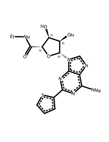 CCNC(=O)[C@H]1O[C@@H](n2cnc3c(NC)nc(-c4cccs4)nc32)[C@H](O)[C@@H]1O